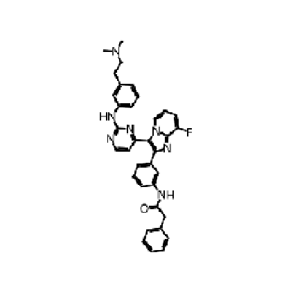 CN(C)CCc1cccc(Nc2nccc(-c3c(-c4cccc(NC(=O)Cc5ccccc5)c4)nc4c(F)cccn34)n2)c1